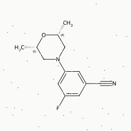 C[C@@H]1CN(c2cc(F)cc(C#N)c2)C[C@H](C)O1